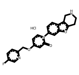 Cl.O=c1cc(OCc2ccc(F)cn2)ccn1-c1ccc2c3c(oc2c1)CCNC3